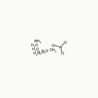 O.O.O.O.O.O.[AlH3].[Cl][Al]([Cl])[Cl]